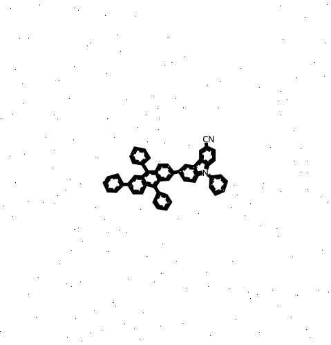 N#Cc1ccc2c(c1)c1cc(-c3ccc4c(-c5ccccc5)c5cc(-c6ccccc6)ccc5c(-c5ccccc5)c4c3)ccc1n2-c1ccccc1